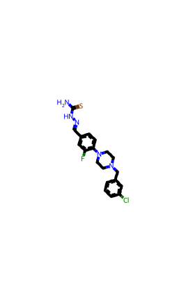 NC(=S)NN=Cc1ccc(N2CCN(Cc3cccc(Cl)c3)CC2)c(F)c1